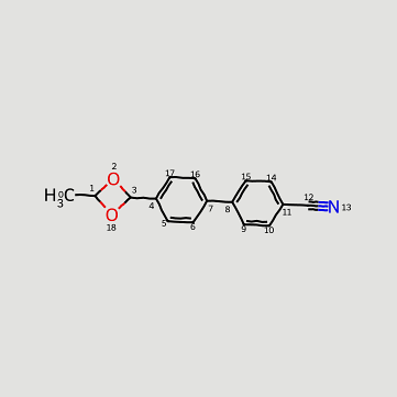 CC1OC(c2ccc(-c3ccc(C#N)cc3)cc2)O1